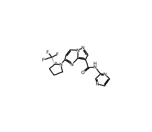 O=C(Nc1cnccn1)c1cnn2ccc(N3CCC[C@@H]3C(F)(F)F)nc12